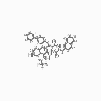 O=C1N[C@@H](C(Cc2ccc(-c3ccccc3)cc2)N(CC2CCNCC2)C(=O)CNCC(F)(F)F)C(=O)N[C@H]1Cc1ccc2ccccc2c1